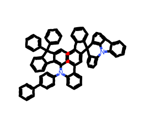 c1ccc(-c2ccc(N(c3ccccc3-c3ccc4c(c3)C3(c5ccccc5-4)c4ccccc4-n4c5ccccc5c5cccc3c54)c3cccc4c3-c3ccccc3C4(c3ccccc3)c3ccccc3)cc2)cc1